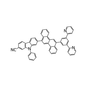 N#Cc1ccc2c3ccc(-c4cc5c6ccccc6c(-c6cc(-c7ccccn7)cc(-c7ccccn7)c6)cc5c5ccccc45)cc3n(-c3ccccc3)c2c1